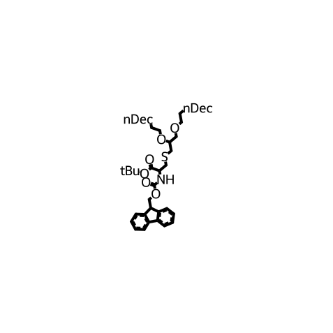 CCCCCCCCCCCCOCC(CSCC(NC(=O)OCC1c2ccccc2-c2ccccc21)C(=O)OC(C)(C)C)OCCCCCCCCCCCC